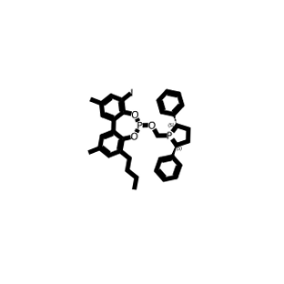 CCCCc1cc(C)cc2c1op(OCP1[C@H](c3ccccc3)CC[C@H]1c1ccccc1)oc1c(I)cc(C)cc12